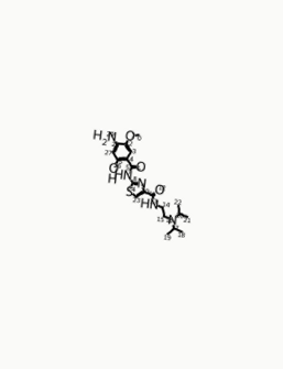 COc1cc(C(=O)Nc2nc(C(=O)NCCN(C(C)C)C(C)C)cs2)c(O)cc1N